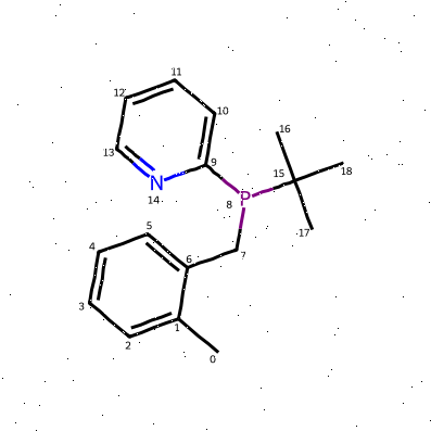 Cc1ccccc1CP(c1ccccn1)C(C)(C)C